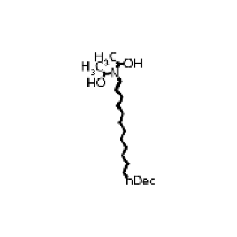 CCCCCCCCCCCCCCCCCCCCCCN(C(C)O)C(C)O